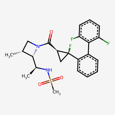 C[C@@H]1CN(C(=O)[C@@H]2C[C@@]2(F)c2ccccc2-c2c(F)cccc2F)[C@@H]1[C@H](C)NS(C)(=O)=O